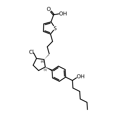 CCCCCC(O)c1ccc([C@H]2CCC(Cl)[C@@H]2CCCc2ccc(C(=O)O)s2)cc1